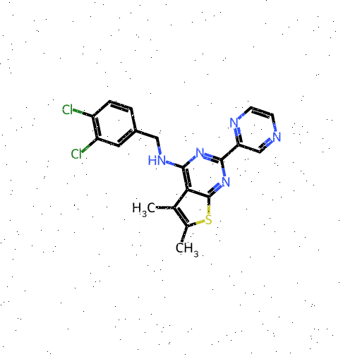 Cc1sc2nc(-c3cnccn3)nc(NCc3ccc(Cl)c(Cl)c3)c2c1C